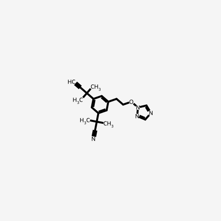 C#CC(C)(C)c1cc(CCOn2cncn2)cc(C(C)(C)C#N)c1